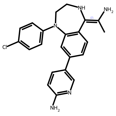 C/C(N)=C1/NCCN(c2ccc(Cl)cc2)c2cc(-c3ccc(N)nc3)ccc21